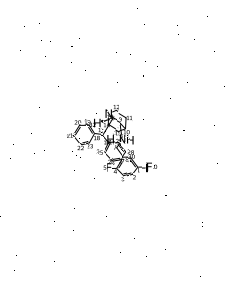 Fc1ccc(F)c(CN[C@@H]2C3CCN(CC3)[C@H]2C(c2ccccc2)c2ccccc2)c1